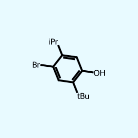 CC(C)c1cc(O)c(C(C)(C)C)cc1Br